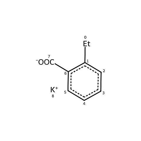 CCc1ccccc1C(=O)[O-].[K+]